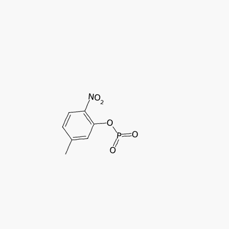 Cc1ccc([N+](=O)[O-])c(OP(=O)=O)c1